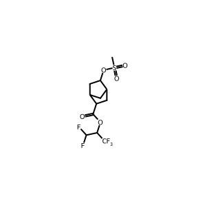 CS(=O)(=O)OC1CC2CC1CC2C(=O)OC(C(F)F)C(F)(F)F